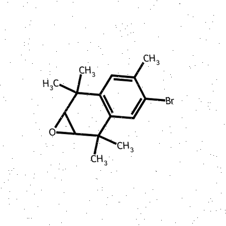 Cc1cc2c(cc1Br)C(C)(C)C1OC1C2(C)C